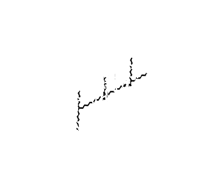 CCCCCCCCC(CCCCCC)CCCCCCCCC(=O)N(CCCCCCCOC(=O)C(CCCCCC)CCCCCCCC)CCOCCO